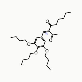 CCCCCC(=O)/C(=C/c1cc(OCCCC)c(OCCCC)c(OCCCC)c1)C(C)=O